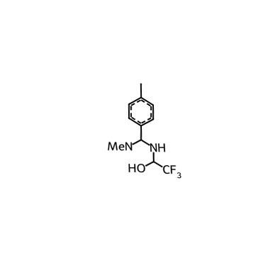 CNC(NC(O)C(F)(F)F)c1ccc(C)cc1